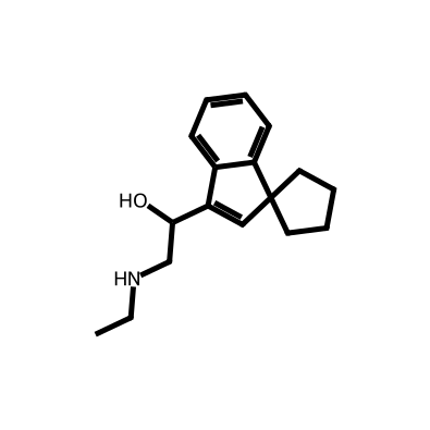 CCNCC(O)C1=CC2(CCCC2)c2ccccc21